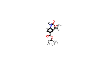 Bc1cc(C(=O)OC(CS(=O)(=O)O)C(F)(F)F)ccc1N(C)C(=O)OC(C)(C)C